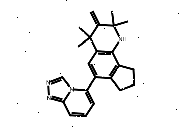 C=C1C(C)(C)Nc2c(cc(-c3cccc4nncn34)c3c2CCC3)C1(C)C